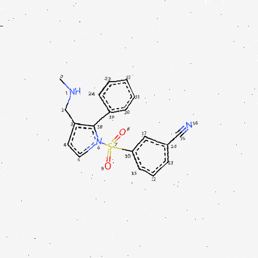 CNCc1ccn(S(=O)(=O)c2cccc(C#N)c2)c1-c1ccccc1